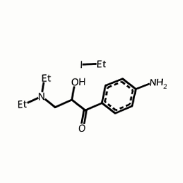 CCI.CCN(CC)CC(O)C(=O)c1ccc(N)cc1